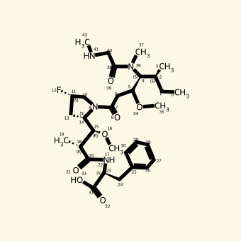 CC[C@H](C)[C@@H](C(CC(=O)N1C[C@@H](F)C[C@H]1[C@H](OC)[C@@H](C)C(=O)N[C@@H](Cc1ccccc1)C(=O)O)OC)N(C)C(=O)CNC